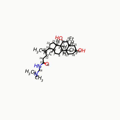 CC[C@H]1[C@@H](O)[C@@H]2[C@H](CC[C@]3(C)[C@@H]([C@H](C)CCC(=O)NCN(C)C)CC[C@@H]23)[C@@]2(C)CC[C@@H](O)C[C@@H]12